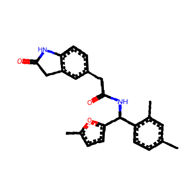 Cc1ccc(C(NC(=O)Cc2ccc3c(c2)CC(=O)N3)c2ccc(C)o2)c(C)c1